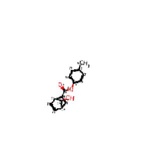 Cc1ccc(OC(=O)C2CC3C=CC2C3O)cc1